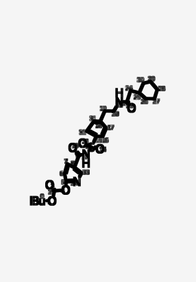 CC[C@H](C)OC(=O)Oc1ccc(C(=O)NS(=O)(=O)c2ccc(CCNC(=O)CC3CCCCC3)cc2)cn1